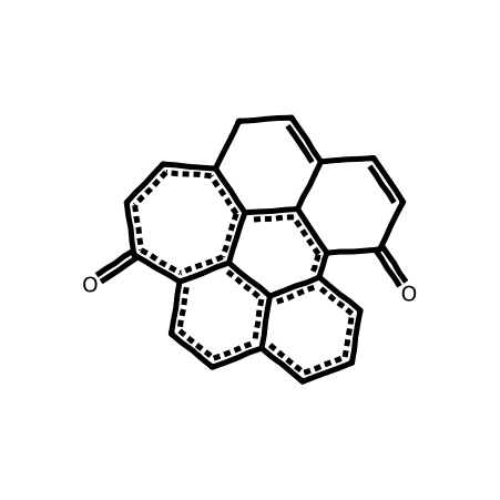 O=C1C=CC2=CCc3ccc(=O)c4ccc5cccc6c1c2c3c4c56